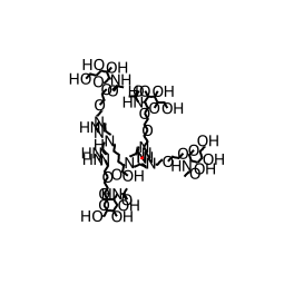 CC(=O)NC1C(OCCOCCN2C=C(CN(CCCCC(C(=O)O)N(Cc3cn(CCOCCOC4OC(CO)C(O)C(O)C4NC(C)=O)nn3)Cc3cn(CCOCCOC4OC(CO)C(O)C(O)C4NC(C)=O)nn3)CC3=CN(CCOCCOC4OC(CO)C(O)C(O)C4NC(C)=O)NN3)NN2)OC(CO)C(O)C1O